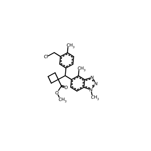 COC(=O)C1(C(c2ccc(C)c(CCl)c2)c2ccc3c(nnn3C)c2C)CCC1